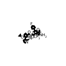 Cc1ncccc1-c1cc(C(=O)NCC(O)(c2cc3c(c(-c4ccc(F)cc4)n2)OC[C@]3(C)C(N)=O)C(F)(F)F)ccc1OC1CC1